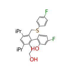 CC(C)c1cc(C(C)C)c(CSc2ccc(F)cc2)c(-c2ccc(F)cc2O)c1CCO